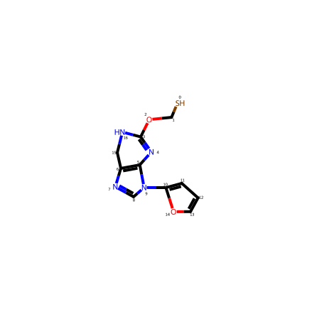 SCOC1=Nc2c(ncn2-c2ccco2)CN1